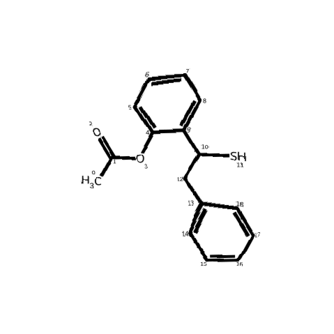 CC(=O)Oc1ccccc1C(S)Cc1ccccc1